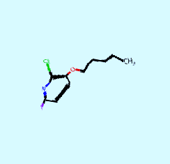 CCCCCOc1ccc(I)nc1Cl